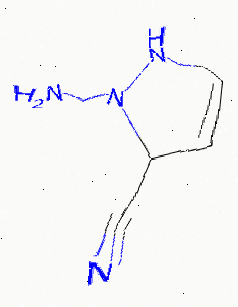 N#CC1C=CNN1N